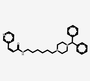 O=C(/C=C\c1cccnc1)NCCCCCCN1CCN(C(c2ccccc2)c2ccccc2)CC1